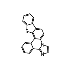 c1ccc2c(c1)sc1c2ccc2c1c1ccccc1c1nccn21